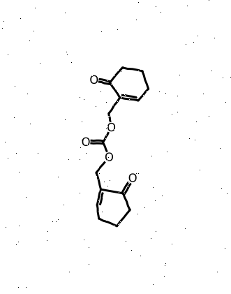 O=C(OCC1=CCCCC1=O)OCC1=CCCCC1=O